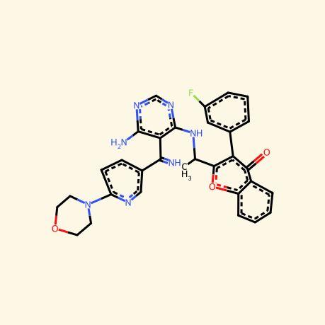 CC(Nc1ncnc(N)c1C(=N)c1ccc(N2CCOCC2)nc1)c1oc2ccccc2c(=O)c1-c1cccc(F)c1